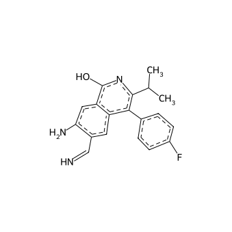 CC(C)c1nc(O)c2cc(N)c(C=N)cc2c1-c1ccc(F)cc1